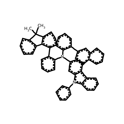 CC1(C)c2ccccc2-c2c(-c3ccccc3N(c3ccc4c5ccccc5n(-c5ccccc5)c4c3)c3ccccc3-c3ccc4ccccc4c3)cccc21